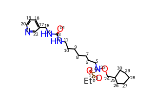 CCS(=O)(=O)N(CCCCCCCNC(=O)NCc1cccnc1)OCC1CCCCC1